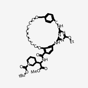 CCOc1nc2nc(n1)Nc1ccc(C(=O)NC(C(=O)OC)C3CCCN(C(=O)OC(C)(C)C)C3)c(c1)OCCCCCCCCOc1ccc(cc1)CN2